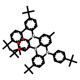 Cc1cc2c3c(c1)N(c1ccc(C(C)(C)C)cc1-c1ccc(C(C)(C)C)c(C(C)(C)C)c1)c1ccc(C(C)(C)C)cc1B3c1cc(C(C)(C)C)ccc1N2c1ccc(C(C)(C)C)cc1